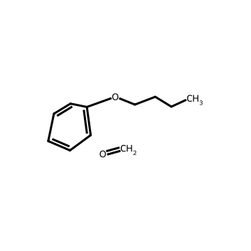 C=O.CCCCOc1ccccc1